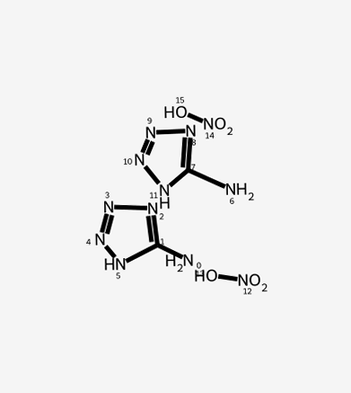 Nc1nnn[nH]1.Nc1nnn[nH]1.O=[N+]([O-])O.O=[N+]([O-])O